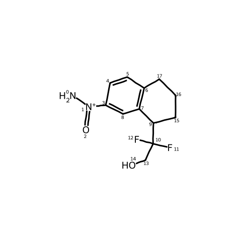 N[N+](=O)c1ccc2c(c1)[C](C(F)(F)CO)CCC2